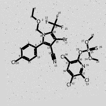 CCOCn1c(-c2ccc(Cl)cc2)c(C#N)c(Br)c1C(F)(F)F.COP(=S)(OC)Oc1nc(Cl)c(Cl)cc1Cl